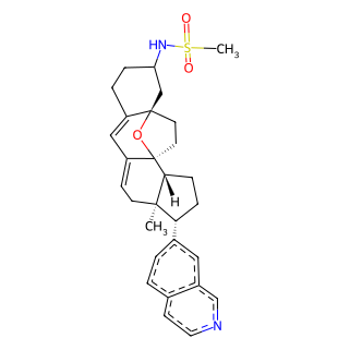 C[C@]12CC=C3C=C4CCC(NS(C)(=O)=O)C[C@]45CC[C@]3(O5)[C@@H]1CC[C@@H]2c1ccc2ccncc2c1